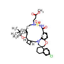 COC(=O)CCN1CC/C=C/[C@H](O[Si](C)(C)C(C)(C)C)[C@@H]2CC[C@H]2CN2C[C@@]3(CCCc4cc(Cl)ccc43)COc3ccc(cc32)C(=O)NS1(=O)=O